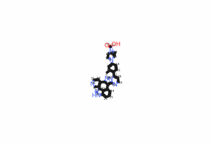 Cc1cc(N2CC3CC2CN3C(=O)O)ccc1-c1ccnc2c(-c3cccc4[nH]ncc34)c(-c3ccncc3)nn12